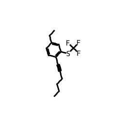 CCCCC#Cc1ccc(CC)cc1SC(F)(F)F